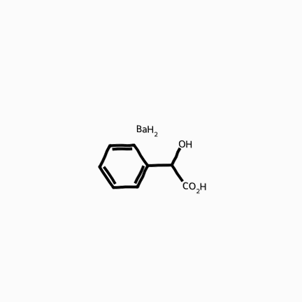 O=C(O)C(O)c1ccccc1.[BaH2]